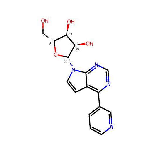 OC[C@H]1O[C@@H](n2ccc3c(-c4cccnc4)ncnc32)[C@H](O)[C@@H]1O